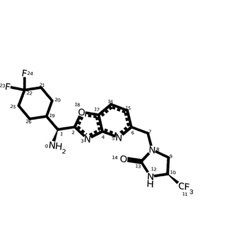 N[C@H](c1nc2nc(CN3C[C@@H](C(F)(F)F)NC3=O)ccc2o1)C1CCC(F)(F)CC1